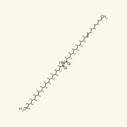 CCCCCCCCC=CCCCCCCCCCCCC(=O)NC(=O)CCCCCCCCCCCCCCCCCCCCC